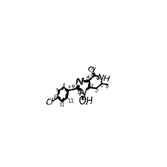 CC1Cc2c(nc(-c3ccc(Cl)cc3)n2O)C(=O)N1